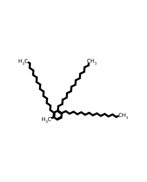 CCCCCCCCCCCCCCCc1ccc(C)c(CCCCCCCCCCCCCCC)c1CCCCCCCCCCCCCCC